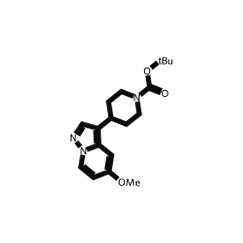 COc1ccn2ncc(C3CCN(C(=O)OC(C)(C)C)CC3)c2c1